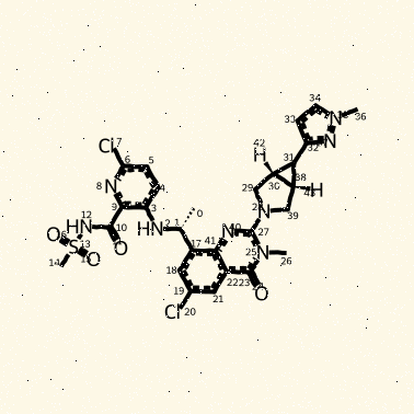 C[C@@H](Nc1ccc(Cl)nc1C(=O)NS(C)(=O)=O)c1cc(Cl)cc2c(=O)n(C)c(N3C[C@@H]4C(c5ccn(C)n5)[C@@H]4C3)nc12